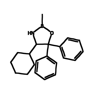 CB1NC(C2CCCCC2)C(c2ccccc2)(c2ccccc2)O1